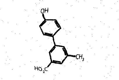 Cc1cc(C(=O)O)cc(-c2ccc(O)cc2)c1